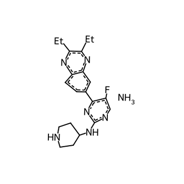 CCc1nc2ccc(-c3nc(NC4CCNCC4)ncc3F)cc2nc1CC.N